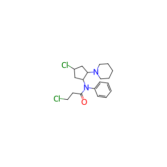 O=C(CCCl)N(c1ccccc1)C1CC(Cl)CC1N1CCCCC1